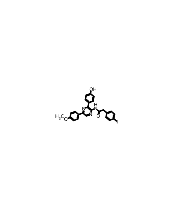 COc1ccc(-c2cnc(NC(=O)Cc3ccc(I)cc3)c(-c3ccc(O)cc3)n2)cc1